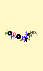 Cc1nc(Sc2cccc(NC(=O)Nc3ccc(F)c(F)c3)c2)nc(Nc2cc([N+](=O)[O-])n[nH]2)c1C